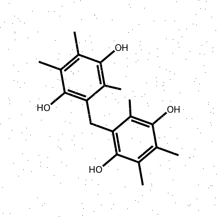 Cc1c(C)c(O)c(Cc2c(C)c(O)c(C)c(C)c2O)c(C)c1O